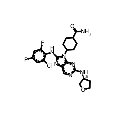 NC(=O)C1CCC(n2c(Nc3c(F)cc(F)cc3Cl)nc3cnc(N[C@H]4CCOC4)nc32)CC1